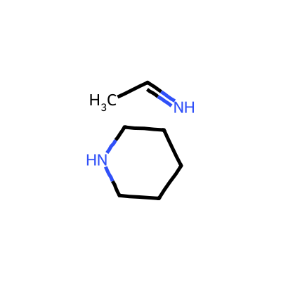 C1CCNCC1.CC=N